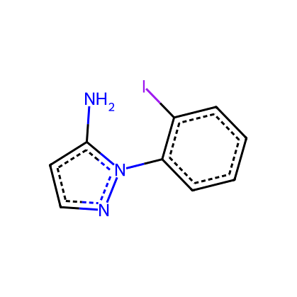 Nc1ccnn1-c1ccccc1I